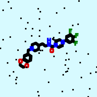 C[C@@H]1CN(c2cc(F)c(F)c(F)c2)CCN1C(=O)NCCC1CCN(Cc2ccc3c(c2)OCCO3)CC1